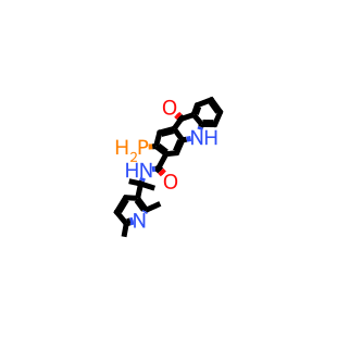 Cc1ccc(C(C)(C)NC(=O)c2cc3[nH]c4ccccc4c(=O)c3cc2P)c(C)n1